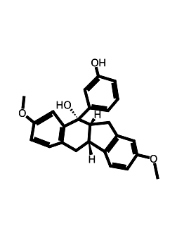 COc1ccc2c(c1)C[C@@H]1[C@H]2Cc2ccc(OC)cc2[C@@]1(O)c1cccc(O)c1